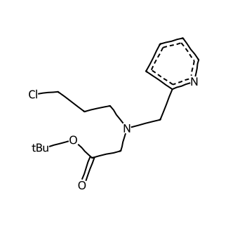 CC(C)(C)OC(=O)CN(CCCCl)Cc1ccccn1